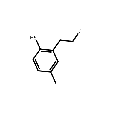 Cc1ccc(S)c(CCCl)c1